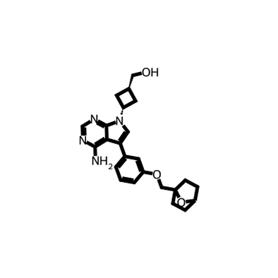 Nc1ncnc2c1c(-c1cccc(OCC34CCC(CC3)O4)c1)cn2[C@H]1C[C@H](CO)C1